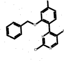 Fc1ccc(-c2nc(Cl)ncc2F)c(OCc2ccccc2)c1